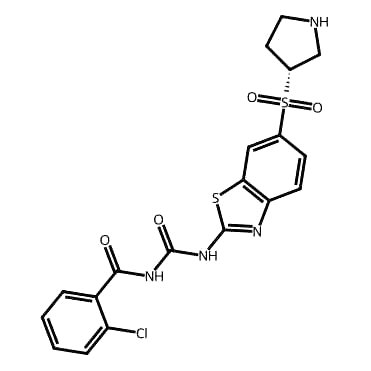 O=C(NC(=O)c1ccccc1Cl)Nc1nc2ccc(S(=O)(=O)[C@@H]3CCNC3)cc2s1